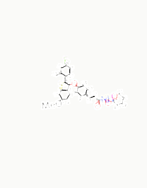 COc1ccc2c(Oc3ccc(C=CC(=O)NOC4CCCCO4)cc3)c(-c3ccc(F)cc3C)sc2c1